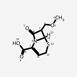 COCC1C(=O)N2C(C(=O)O)=CCS[C@@H]12